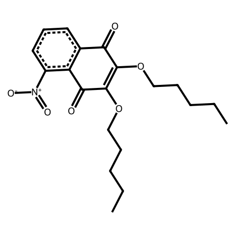 CCCCCOC1=C(OCCCCC)C(=O)c2c(cccc2[N+](=O)[O-])C1=O